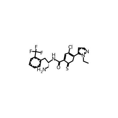 CCn1nccc1C1=C(Cl)C=C(C(=O)N[C@H](CN)Cc2ccccc2C(F)(F)F)C(=S)C1